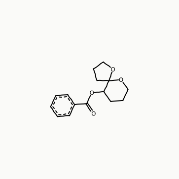 O=C(OC1CCCOC12CCCO2)c1ccccc1